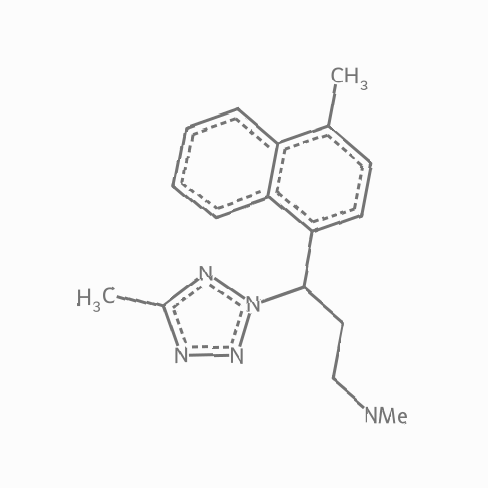 CNCCC(c1ccc(C)c2ccccc12)n1nnc(C)n1